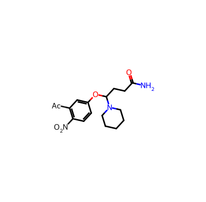 CC(=O)c1cc(OC(CCC(N)=O)N2CCCCC2)ccc1[N+](=O)[O-]